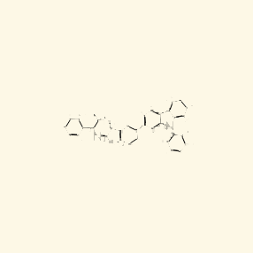 Clc1nc2c(nc1-c1ccccc1)sc1ccc(-c3ccc4c5ccccc5n(-c5ccccc5)c4c3)cc12